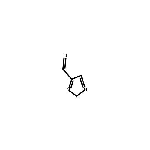 O=CC1=NCN=C1